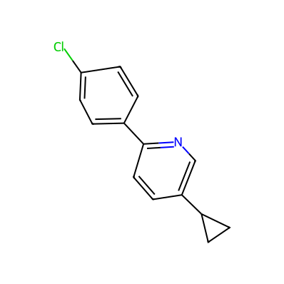 Clc1ccc(-c2ccc(C3CC3)cn2)cc1